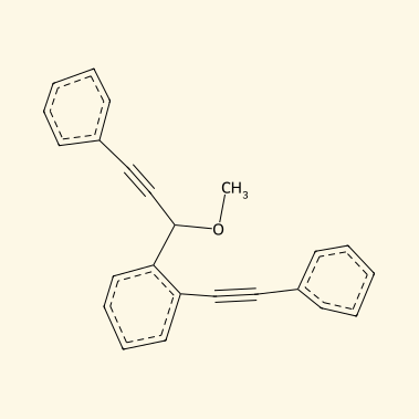 COC(C#Cc1ccccc1)c1ccccc1C#Cc1ccccc1